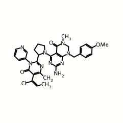 C/C=C(/Cl)c1c(C)nc(C2CCCN2c2nc(N)nc3c2C(=O)N(C)CN3Cc2ccc(OC)cc2)n(-c2cccnc2)c1=O